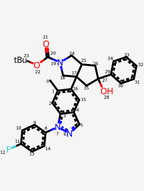 Cc1cc2c(cnn2-c2ccc(F)cc2)cc1C12CN(C(=O)OC(C)(C)C)CC1CC(O)(c1ccccc1)C2